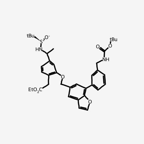 CCOC(=O)Cc1ccc(C(C)N[S@+]([O-])C(C)(C)C)cc1OCc1cc(-c2cccc(CNC(=O)OC(C)(C)C)c2)c2occc2c1